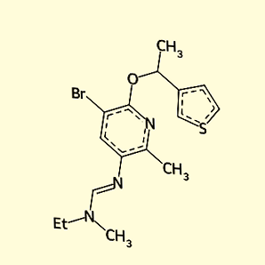 CCN(C)/C=N/c1cc(Br)c(OC(C)c2ccsc2)nc1C